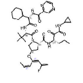 C=C(F)/C=C(\C=C/C)O[C@@H]1C[C@@H](C(=O)N[C@@H](CCC)C(=O)C(=O)NC2CC2)N(C(=O)[C@@H](NC(=O)[C@@H](NC(=O)c2cnccn2)C2CCCCC2)C(C)(C)C)C1